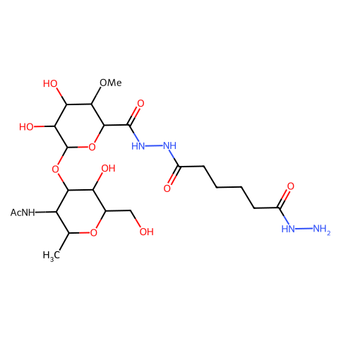 COC1C(C(=O)NNC(=O)CCCCC(=O)NN)OC(OC2C(O)C(CO)OC(C)C2NC(C)=O)C(O)C1O